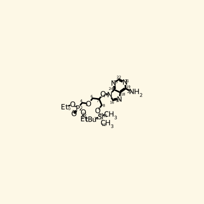 CCOP(=O)(COCC(CO[Si](C)(C)C(C)(C)C)On1cnc2c(N)ncnc21)OCC